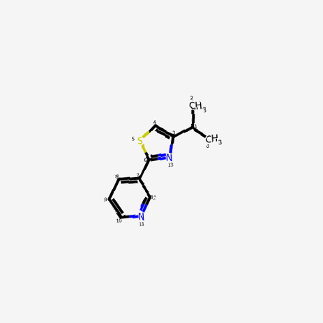 CC(C)c1csc(-c2cccnc2)n1